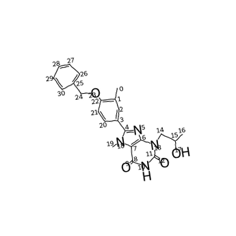 Cc1cc(-c2nc3c(c(=O)[nH]c(=O)n3CC(C)O)n2C)ccc1OCc1ccccc1